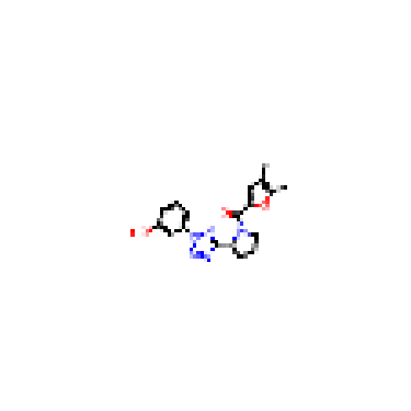 Cc1cc(C(=O)N2CCCC2c2nnn(-c3cccc(O)c3)n2)oc1C